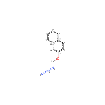 [N-]=[N+]=NCOc1ccc2ccccc2c1